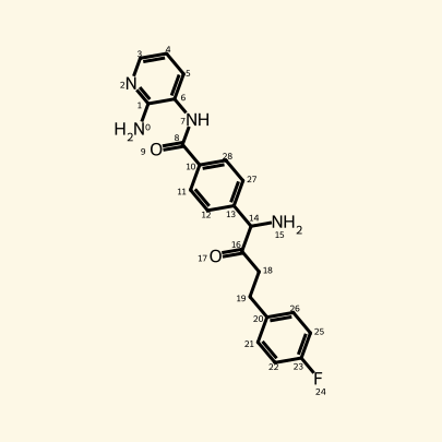 Nc1ncccc1NC(=O)c1ccc(C(N)C(=O)CCc2ccc(F)cc2)cc1